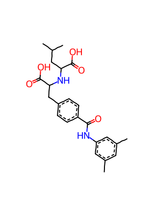 Cc1cc(C)cc(NC(=O)c2ccc(CC(NC(CC(C)C)C(=O)O)C(=O)O)cc2)c1